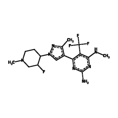 CNc1nc(N)nc(-c2cn(C3CCN(C)CC3F)nc2C)c1C(F)(F)F